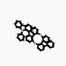 c1ccc(-c2cccc3c2-c2ccccc2Oc2ccccc2-c2c(cccc2-c2cccc4c5ccccc5n(-c5ccccc5)c24)O3)cc1